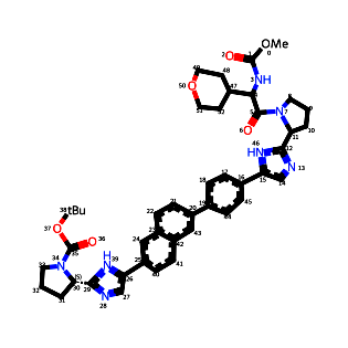 COC(=O)NC(C(=O)N1CCCC1c1ncc(-c2ccc(-c3ccc4cc(-c5cnc([C@@H]6CCCN6C(=O)OC(C)(C)C)[nH]5)ccc4c3)cc2)[nH]1)C1CCOCC1